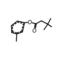 Cc1cccc(OC(=O)CC(C)(C)C)c1